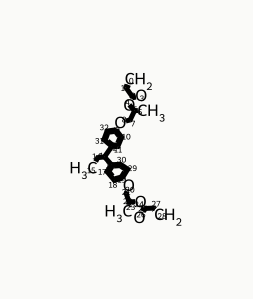 C=CC(=O)OC(C)COc1ccc(C(CC)c2ccc(OCC(C)OC(=O)C=C)cc2)cc1